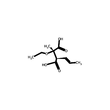 CC=C[C@@H](C(=O)O)[C@](C)(OCC)C(=O)O